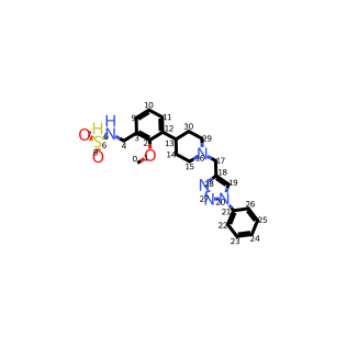 COc1c(CN[SH](=O)=O)cccc1C1CCN(Cc2cn(-c3ccccc3)nn2)CC1